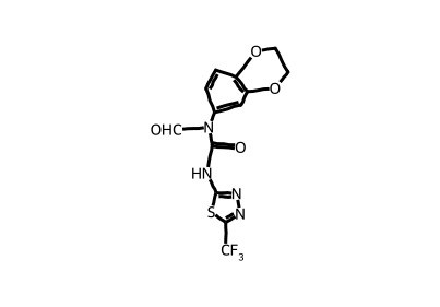 O=CN(C(=O)Nc1nnc(C(F)(F)F)s1)c1ccc2c(c1)OCCO2